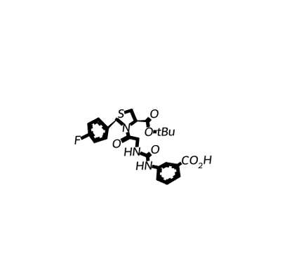 CC(C)(C)OC(=O)[C@@H]1CS[C@H](c2ccc(F)cc2)N1C(=O)CNC(=O)Nc1cccc(C(=O)O)c1